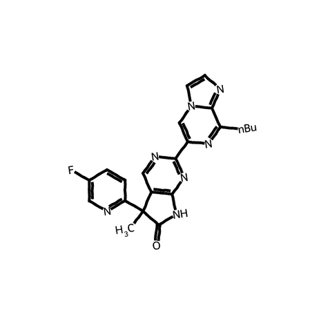 CCCCc1nc(-c2ncc3c(n2)NC(=O)C3(C)c2ccc(F)cn2)cn2ccnc12